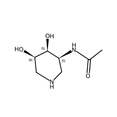 CC(=O)N[C@H]1CNC[C@@H](O)[C@H]1O